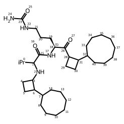 CC(C)C(NC1CCC1C1CCCCCCC1)C(=O)N[C@@H](CCCNC(N)=O)C(=O)C1CCC1C1CCCCCCCC1